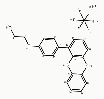 F[P-](F)(F)(F)(F)F.OCCOc1ccc(-c2cccc3c2Sc2ccccc2S3)cc1.[H+]